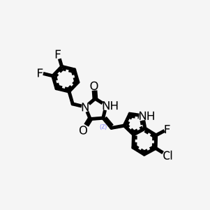 O=C1N/C(=C\c2c[nH]c3c(F)c(Cl)ccc23)C(=O)N1Cc1ccc(F)c(F)c1